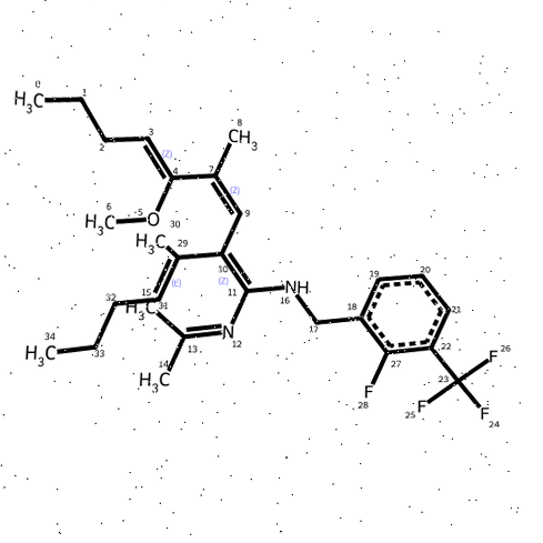 CCC/C=C(OC)/C(C)=C\C(=C(\N=C(C)C)NCc1cccc(C(F)(F)F)c1F)C(\C)=C\CCC